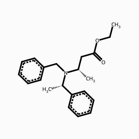 CCOC(=O)C[C@H](C)N(Cc1ccccc1)[C@@H](C)c1ccccc1